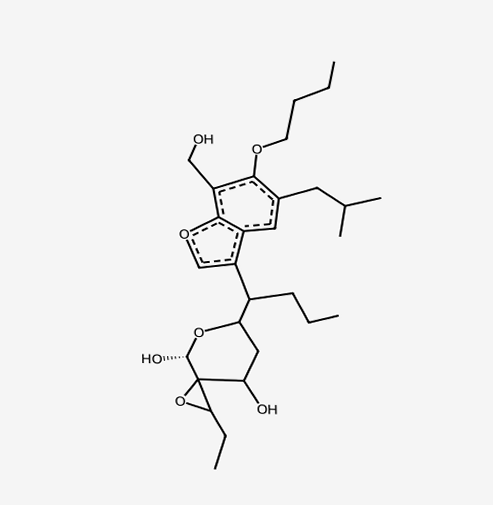 CCCCOc1c(CC(C)C)cc2c(C(CCC)C3CC(O)C4(OC4CC)[C@H](O)O3)coc2c1CO